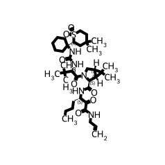 C=CCNC(=O)C(=O)[C@H](CCCC)NC(=O)[C@@H]1[C@@H]2[C@H](CN1C(=O)[C@@H](NC(=O)NC1([C@H]3CC(C)(C)CCS3(=O)=O)CCCCC1)C(C)(C)C)C2(C)C